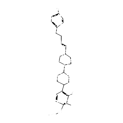 CCCOc1ccc(C2CCC(C3CCC(/C=C/CCc4ccc(CCC)cc4)CC3)CC2)c(F)c1F